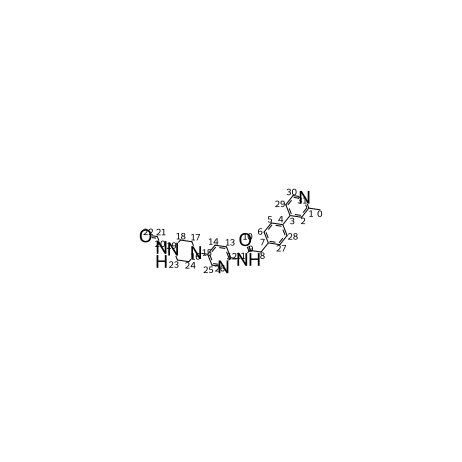 Cc1cc(-c2ccc(CC(=O)Nc3ccc(N4CCN(NC=O)CC4)cn3)cc2)ccn1